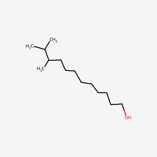 C[C](C)C(C)CCCCCCCCCO